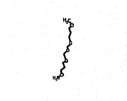 COCCCOCOCOCCCOC